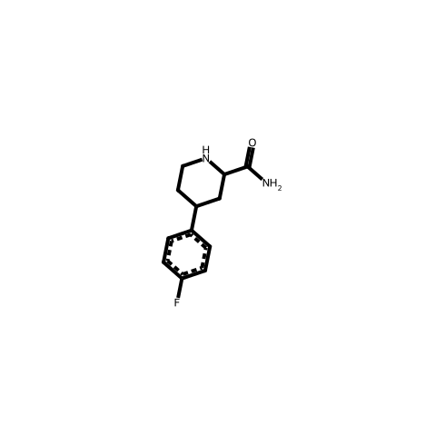 NC(=O)C1CC(c2ccc(F)cc2)CCN1